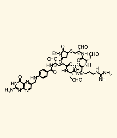 CCN1C(=O)CC(SC[C@@H](C=O)NC(=O)[C@H](CC=O)NC(=O)[C@H](CCCNC(=N)N)NC(=O)[C@H](CC=O)NC(=O)CC[C@@H](C=O)NC(=O)c2ccc(NCc3cnc4nc(N)[nH]c(=O)c4n3)cc2)C1=O